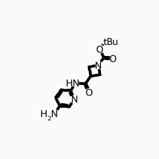 CC(C)(C)OC(=O)N1CC(C(=O)Nc2ccc(N)cn2)C1